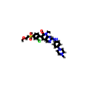 CCn1c(=O)c(-c2ccc(S(=O)(=O)CCOC)cc2Cl)cc2cnc(Nc3ccc(N4CCN(C)CC4)cc3)nc21